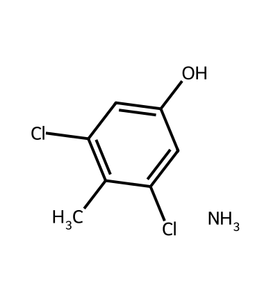 Cc1c(Cl)cc(O)cc1Cl.N